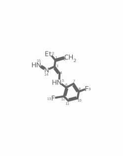 C=C(CC)/C(=C/Nc1cc(F)ccc1F)N=N